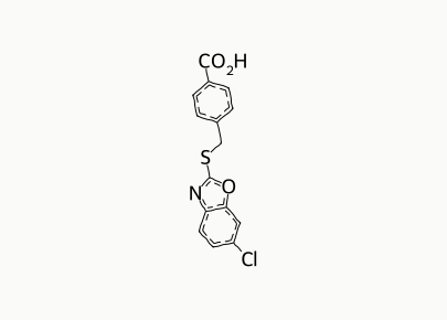 O=C(O)c1ccc(CSc2nc3ccc(Cl)cc3o2)cc1